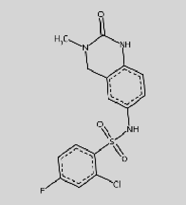 CN1Cc2cc(NS(=O)(=O)c3ccc(F)cc3Cl)ccc2NC1=O